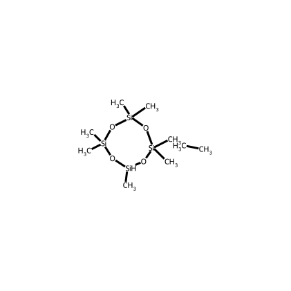 CC.C[SiH]1O[Si](C)(C)O[Si](C)(C)O[Si](C)(C)O1